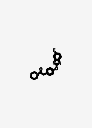 O=C(Cc1ccc(Oc2nc3ccc(F)cc3s2)cc1)N1CCCCC1